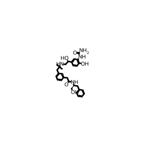 CC(C)(Cc1cccc(CC(=O)N[C@H](CO)Cc2ccccc2)c1)NC[C@@H](O)c1ccc(O)c(NC(N)=O)c1